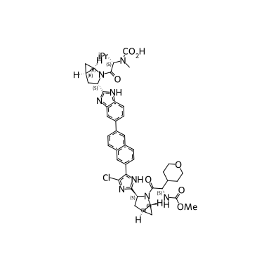 COC(=O)N[C@H](C(=O)N1[C@@H]2C[C@H]2C[C@H]1c1nc(Cl)c(-c2ccc3cc(-c4ccc5[nH]c([C@@H]6C[C@H]7C[C@H]7N6C(=O)[C@H](C(C)C)N(C)C(=O)O)nc5c4)ccc3c2)[nH]1)C1CCOCC1